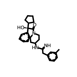 Cc1cccc(CC(=N)NC2CCN(C(=O)[C@](O)(c3ccccc3)C3CCCC3)CC2)c1